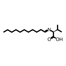 CCCCCCCCCCC=N[C@H](C(=O)O)C(C)C